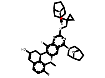 CCc1c(F)ccc2c1C(c1c(F)cc3c(N4CC5CCC(C4)N5)nc(OCC4(CN5C6CCC5CC(=O)C6)CC4)nc3c1F)CC(O)=C2